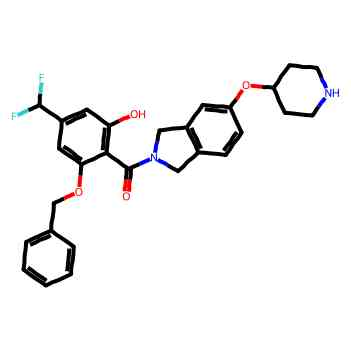 O=C(c1c(O)cc(C(F)F)cc1OCc1ccccc1)N1Cc2ccc(OC3CCNCC3)cc2C1